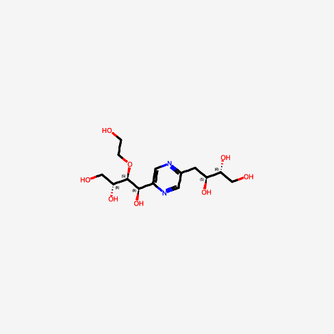 OCCO[C@H]([C@H](O)CO)[C@H](O)c1cnc(C[C@H](O)[C@H](O)CO)cn1